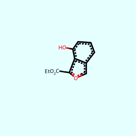 CCOC(=O)c1occ2cccc(O)c12